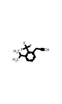 C#CCc1[c]ccc(C(C)C)c1C(F)(F)F